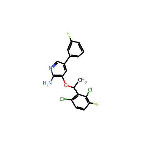 CC(Oc1cc(-c2cccc(F)c2)cnc1N)c1c(Cl)ccc(F)c1Cl